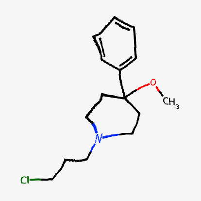 COC1(c2ccccc2)CCN(CCCCl)CC1